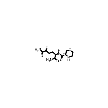 NC(=O)C(=O)CCC(NC(=O)[C@H]1COCCN1)C(N)=O